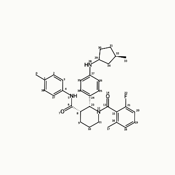 Cc1ccc(NC(=O)[C@H]2CCCN(C(=O)c3c(C)cccc3F)[C@H]2c2ccc(NC3CC[C@@H](C)C3)cc2)cc1